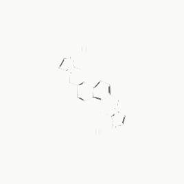 Cc1n(C)cc[n+]1Cc1ccc2cc(C[n+]3ccn(C)c3C)ccc2c1